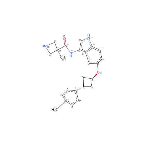 Cc1ccc([C@H]2C[C@H](Oc3ccc4[nH]cc(NC(=O)C5(C)CNC5)c4c3)C2)cc1